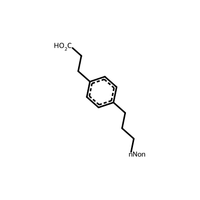 CCCCCCCCCCCCc1ccc(CCC(=O)O)cc1